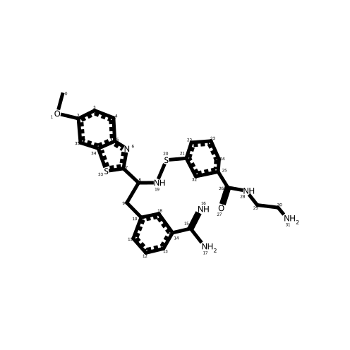 COc1ccc2nc(C(Cc3cccc(C(=N)N)c3)NSc3cccc(C(=O)NCCN)c3)sc2c1